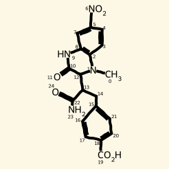 CN1c2ccc([N+](=O)[O-])cc2NC(=O)C1C(Cc1ccc(C(=O)O)cc1)C(N)=O